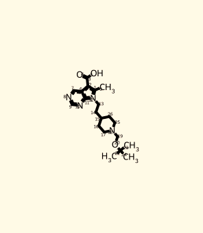 Cc1c(C(=O)O)c2cncnc2n1CCC1CCN(COC(C)(C)C)CC1